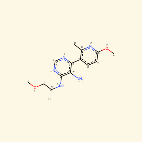 COC[C@@H](C)Nc1ncnc(-c2ccc(OC)nc2C)c1N